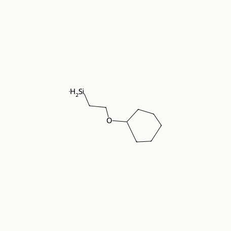 [SiH2]CCOC1CCCCC1